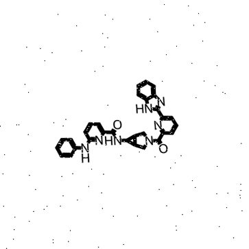 O=C(NC1C2CN(C(=O)c3cccc(-c4nc5ccccc5[nH]4)n3)CC21)c1cccc(Nc2ccccc2)n1